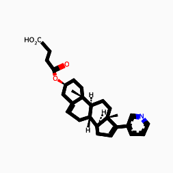 C[C@]12CC[C@H](OC(=O)CCC(=O)O)CC1=CC[C@@H]1[C@@H]2CC[C@]2(C)C(c3cccnc3)=CC[C@@H]12